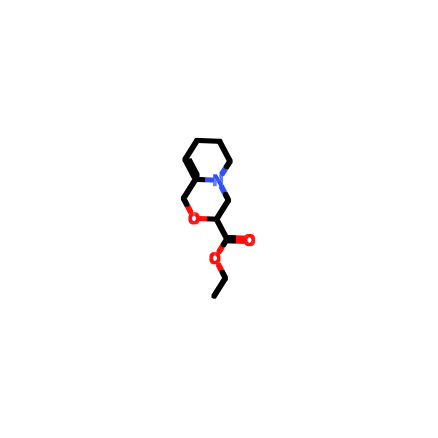 CCOC(=O)C1CN2CCCC=C2CO1